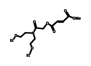 CCOCCN(CCOCC)C(=O)COC(=O)/C=C/C(=O)OC